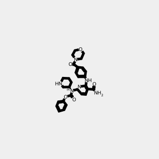 NC(=O)c1ccc(N(C(=O)Oc2ccccc2)[C@@H]2CCCNC2)nc1Nc1ccc(C(=O)N2CCOCC2)cc1